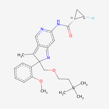 COc1ccccc1C1(COCC[Si](C)(C)C)N=c2cc(NC(=O)[C@@H]3C[C@@H]3F)ncc2=C1C